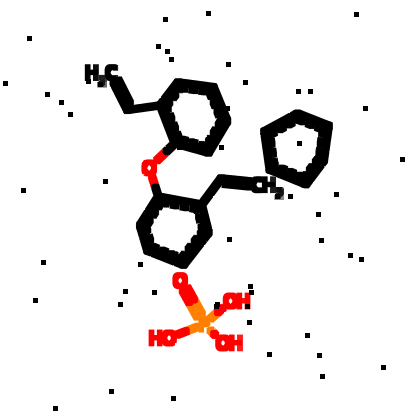 C=Cc1ccccc1Oc1ccccc1C=C.O=P(O)(O)O.c1ccccc1